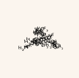 CC(C)(C#Cc1ccc(-c2ccc(Cl)c3c(N(C(=O)C(N)CCCCN)S(C)(=O)=O)nn(CC(F)(F)F)c23)c(C(Cc2cc(F)cc(F)c2)NC(=O)Cn2nc(C(F)(F)F)c3c2C(F)(F)[C@@H]2C[C@H]32)n1)S(C)(=O)=O